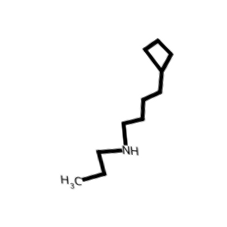 CCCNCCCCC1CCC1